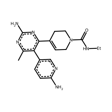 CCNC(=O)N1CC=C(c2nc(N)nc(C)c2-c2ccc(N)nc2)CC1